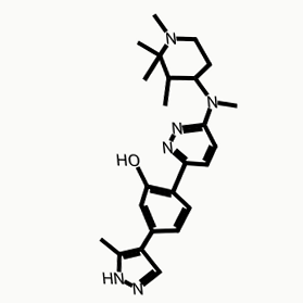 Cc1[nH]ncc1-c1ccc(-c2ccc(N(C)C3CCN(C)C(C)(C)C3C)nn2)c(O)c1